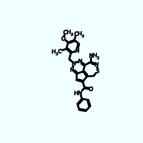 COc1c(C)cnc(Cn2nc3cc(C(=O)Nc4ccccc4)c4c-3c(n2)C(N)=NSC4)c1C